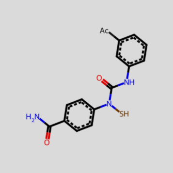 CC(=O)c1cccc(NC(=O)N(S)c2ccc(C(N)=O)cc2)c1